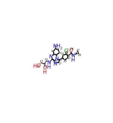 Nc1ccc2c(c1)nc(NC[C@@H](O)CO)c1ncc(-c3ccc(C(=O)NC4CC4)c(Cl)c3)n12